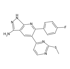 CSc1nccc(-c2cc3c(N)n[nH]c3nc2-c2ccc(F)cc2)n1